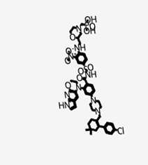 CC1(C)CCC(CN2CCN(c3ccc(C(=O)NS(=O)(=O)c4ccc(NCC5CN(CP(=O)(O)O)CCO5)c([N+](=O)[O-])c4)c(N4CCOc5nc6[nH]ccc6cc54)c3)CC2)=C(c2ccc(Cl)cc2)C1